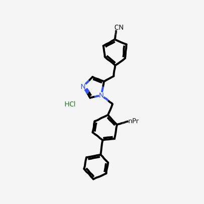 CCCc1cc(-c2ccccc2)ccc1Cn1cncc1Cc1ccc(C#N)cc1.Cl